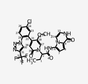 CCC(C(=O)Nc1ccc2c(=O)[nH]ccn12)n1cc(OC)c(-c2cc(Cl)ccc2-n2cc(C(F)(F)F)nn2)cc1=O